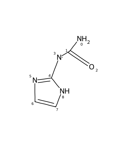 NC(=O)[N]c1ncc[nH]1